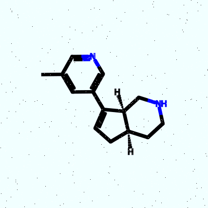 Cc1cncc(C2=CC[C@@H]3CCNC[C@H]23)c1